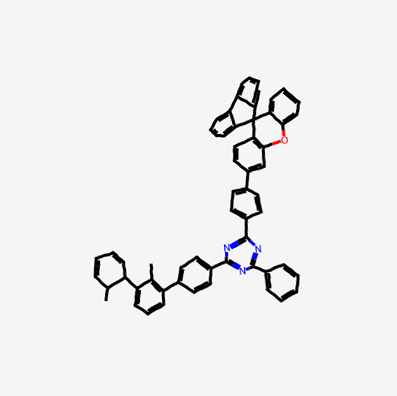 Cc1c(-c2ccc(-c3nc(-c4ccccc4)nc(-c4ccc(-c5ccc6c(c5)Oc5ccccc5C65c6ccccc6-c6ccccc65)cc4)n3)cc2)cccc1C1C=CC=CC1C